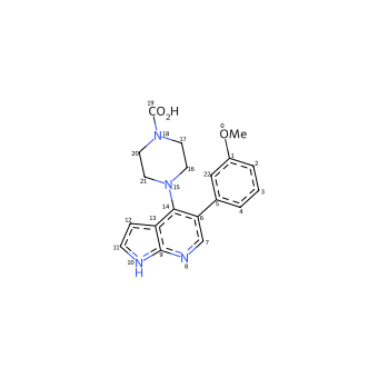 COc1cccc(-c2cnc3[nH]ccc3c2N2CCN(C(=O)O)CC2)c1